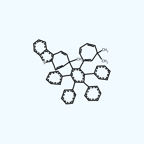 CC1(C)C=CC=CC(c2c(-c3ccccc3)c(-c3ccccc3)c(-c3ccccc3)c(-c3ccccc3)c2C2(C)C=Cc3sc4ccccc4c3C=C2)=C1